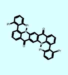 CC(C)c1cccc(C(C)C)c1-c1cccc2c(=O)c3cc4c(cc3n(C)c12)c(=O)c1cccc(-c2c(C(C)C)cccc2C(C)C)c1n4C